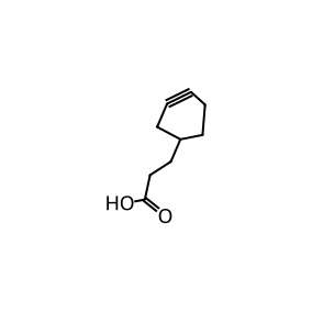 O=C(O)CCC1CC#CCC1